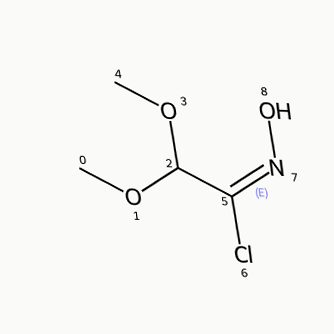 COC(OC)/C(Cl)=N\O